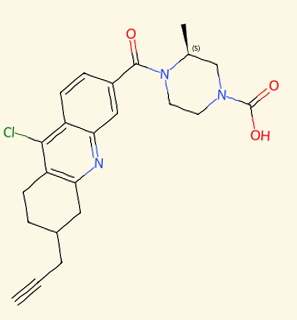 C#CCC1CCc2c(nc3cc(C(=O)N4CCN(C(=O)O)C[C@@H]4C)ccc3c2Cl)C1